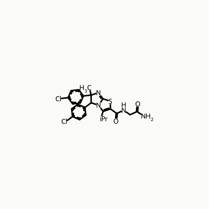 CC(C)C1=C(C(=O)NCC(N)=O)SC2=NC(C)(c3ccc(Cl)cc3)C(c3ccc(Cl)cc3)N21